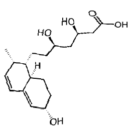 C[C@H]1C=CC2=C[C@@H](O)CC[C@@H]2[C@H]1CC[C@@H](O)C[C@@H](O)CC(=O)O